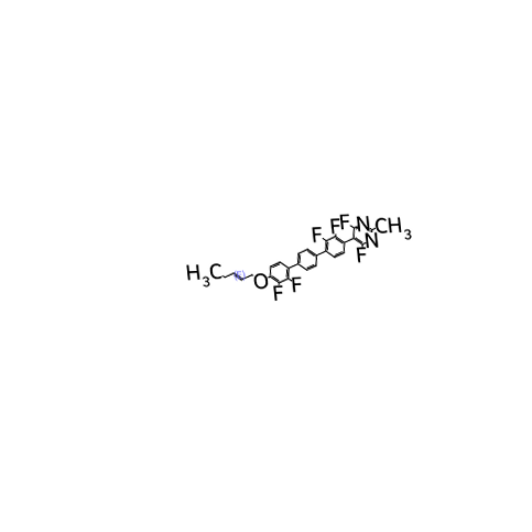 CC/C=C/COc1ccc(-c2ccc(-c3ccc(-c4c(F)nc(C)nc4F)c(F)c3F)cc2)c(F)c1F